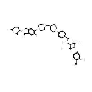 CC1(C)C(NC(=O)c2ccc(N3CCC(CN4CCN(c5cc6c(cc5F)C(=O)N(C5CCC(=O)NC5=O)C6)CC4)CC3)cc2)C(C)(C)C1Oc1ccc(C#N)c(Cl)c1